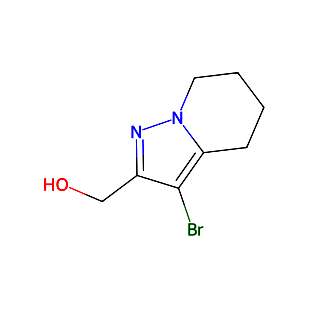 OCc1nn2c(c1Br)CCCC2